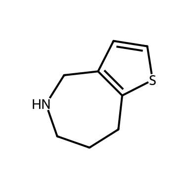 c1cc2c(s1)CCCNC2